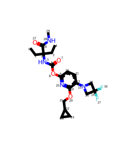 CCC(CC)(NC(=O)Oc1ccc(N2CC(F)(F)C2)c(OCC2CC2)n1)C(=O)NC